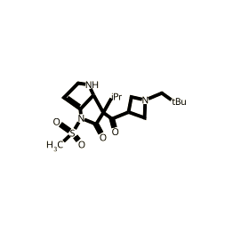 CC(C)C1(C(=O)C2CN(CC(C)(C)C)C2)C(=O)N(S(C)(=O)=O)C2=CCNC21